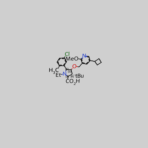 CCN1[C@H](C(=O)O)[C@@H](C(C)(C)C)[C@H](OCc2cc(C3CCC3)cnc2OC)[C@@H]1c1cc(Cl)ccc1C